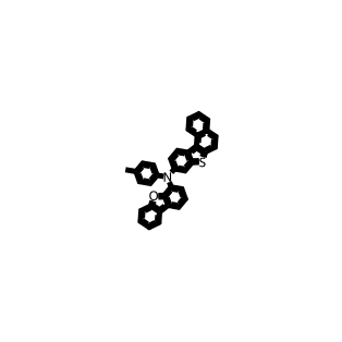 Cc1ccc(N(c2ccc3c(c2)sc2ccc4ccccc4c23)c2cccc3c2oc2ccccc23)cc1